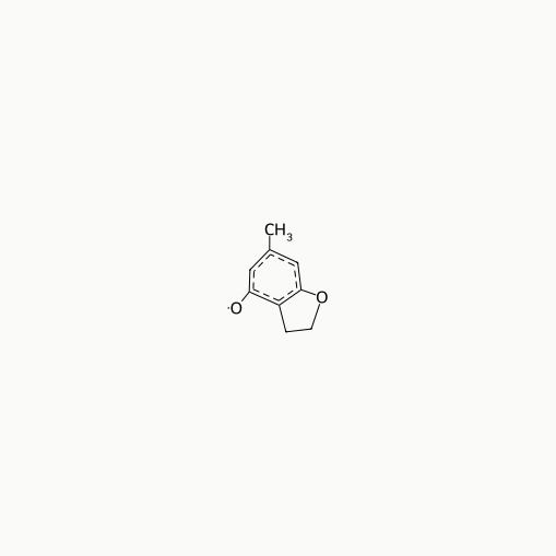 Cc1cc([O])c2c(c1)OCC2